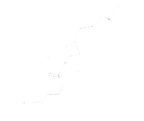 CC(C)C(=O)/C=C/CN1CC(C(C)(C)C(=O)/C=C\CN(C)C)C1